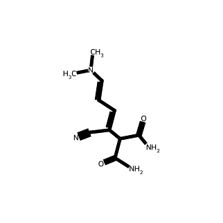 CN(C)C=CC=C(C#N)C(C(N)=O)C(N)=O